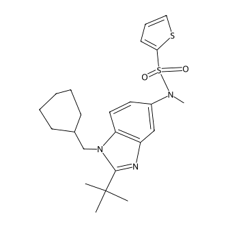 CN(c1ccc2c(c1)nc(C(C)(C)C)n2CC1CCCCC1)S(=O)(=O)c1cccs1